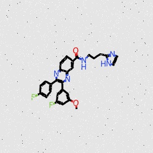 COc1cc(F)cc(-c2nc3cc(C(=O)NCCCc4ncc[nH]4)ccc3nc2-c2ccc(F)cc2)c1